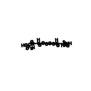 O=C(CCCCC1SCC2NC(=O)NC21)NCCOCCOCCOCCOCCC(=O)NCCCCNC(=O)c1ccc(CO)c(P(c2ccccc2)c2ccccc2)c1